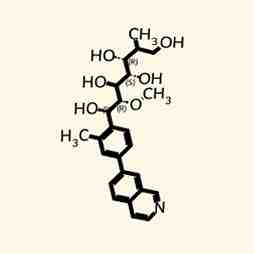 CO[C@@H](C(O)[C@@H](O)[C@H](O)C(C)CO)[C@H](O)c1ccc(-c2ccc3ccncc3c2)cc1C